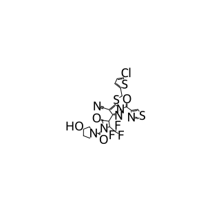 N#Cc1c(C2C(=O)N(C(=O)N3CCC(O)C3)C2C(F)(F)F)nn(C(=O)c2cscn2)c1SCc1ccc(Cl)s1